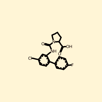 O=C(O)C1CCCN1C(=O)Nc1cc(Cl)ccc1-c1ccc(F)cc1